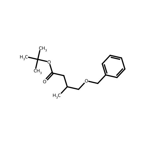 CC(COCc1ccccc1)CC(=O)OC(C)(C)C